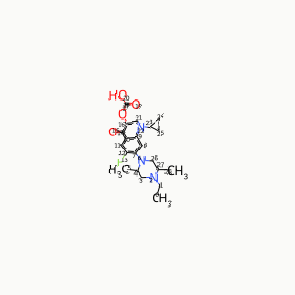 CCN1CC(C)N(c2cc3c(cc2F)c(=O)c(OC(=O)O)cn3C2CC2)CC1C